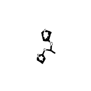 C[C](Oc1ccsc1)Oc1cccs1